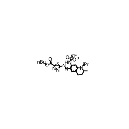 CCCCOC(=O)c1nnc(N=Nc2cc3c(cc2NS(=O)(=O)C(F)(F)F)N(C(C)C)C(C)CC3)s1